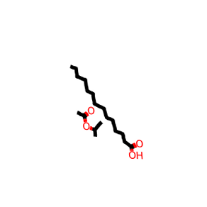 CC(=O)OC(C)C.CCCCCCCCCCCCCC(=O)O